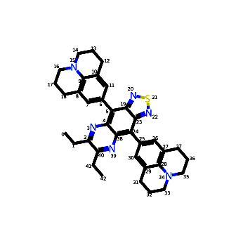 CCc1nc2c(-c3cc4c5c(c3)CCCN5CCC4)c3nsnc3c(-c3cc4c5c(c3)CCCN5CCC4)c2nc1CC